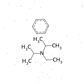 CCN(C(C)C)C(C)C.c1ccccc1